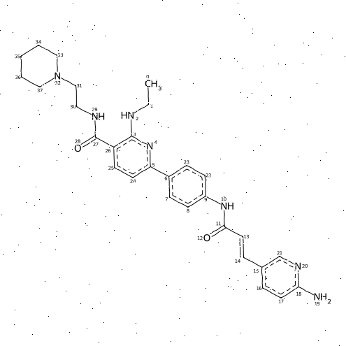 CCNc1nc(-c2ccc(NC(=O)/C=C/c3ccc(N)nc3)cc2)ccc1C(=O)NCCN1CCCCC1